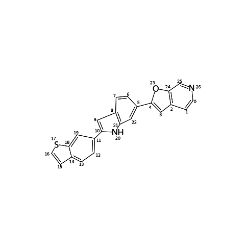 c1cc2cc(-c3ccc4cc(-c5ccc6ccsc6c5)[nH]c4c3)oc2cn1